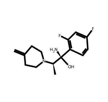 C=C1CCN([C@H](C)[C@@](N)(O)c2ccc(F)cc2F)CC1